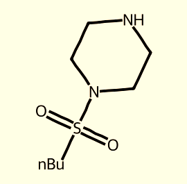 CCCCS(=O)(=O)N1CCNCC1